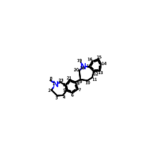 CN1CCCc2ccc(C3CCc4ccccc4N(C)C3)cc2C1